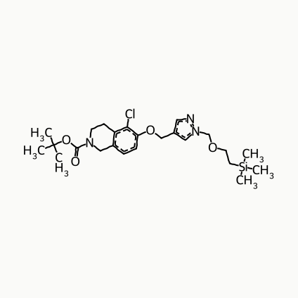 CC(C)(C)OC(=O)N1CCc2c(ccc(OCc3cnn(COCC[Si](C)(C)C)c3)c2Cl)C1